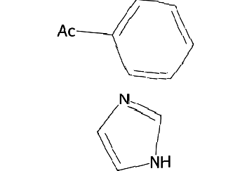 CC(=O)c1ccccc1.c1c[nH]cn1